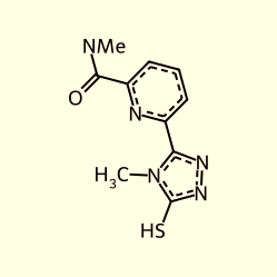 CNC(=O)c1cccc(-c2nnc(S)n2C)n1